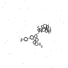 COC(=O)c1cc(-c2ccc(F)cc2)ccc1OCCc1csc(SC(C)(C)C(=O)O)n1